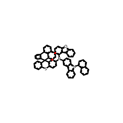 c1ccc2c(c1)Sc1ccc(N(c3ccc4c(c3)c3ccccc3n4-c3cccc4ccccc34)c3cccc4oc5ccccc5c34)cc1C21c2ccccc2-c2cccc3cccc1c23